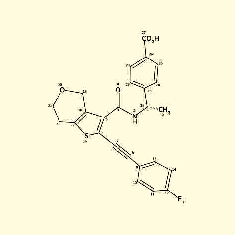 C[C@H](NC(=O)c1c(C#Cc2ccc(F)cc2)sc2c1COCC2)c1ccc(C(=O)O)cc1